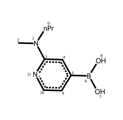 CCCN(C)c1cc(B(O)O)ccn1